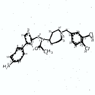 CC(=O)N(Sc1nc(-c2ccc(N)cc2)cs1)C1CCN(Cc2ccc(Cl)c(Cl)c2)CC1